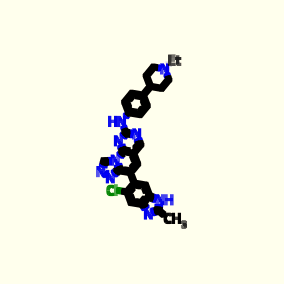 CCN1CCC(c2ccc(Nc3ncc4cc(-c5cc6[nH]c(C)nc6cc5Cl)c5nncn5c4n3)cc2)CC1